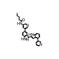 CCCCC(=O)Nc1cncc(-c2ccc3[nH]nc(-c4cc5c(-c6cccnc6)cccc5[nH]4)c3c2)c1